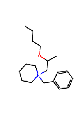 CCCCOC(C)C[N+]1(Cc2ccccc2)CCCCC1